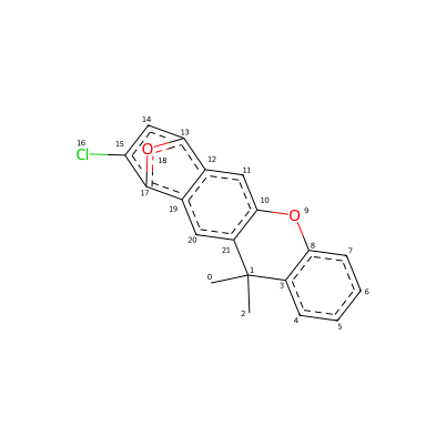 CC1(C)c2ccccc2Oc2cc3c4cc(Cl)c(o4)c3cc21